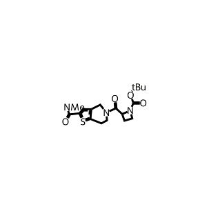 CNC(=O)c1cc2c(s1)CCN(C(=O)C1CCN1C(=O)OC(C)(C)C)C2